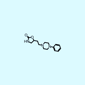 O=C1NCC(CCN2CCN(c3ccccc3)CC2)O1